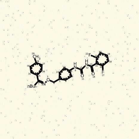 CCCCC(=NOCc1ccc(NC(=O)NC(=O)c2c(F)cccc2F)cc1)c1ccc(C)cc1